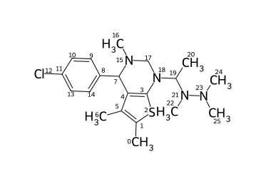 Cc1sc2c(c1C)C(c1ccc(Cl)cc1)N(C)CN2C(C)N(C)N(C)C